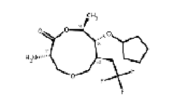 C[C@@H]1OC(=O)[C@@H](N)COC[C@H](CC(F)(F)F)[C@H]1OC1CCCC1